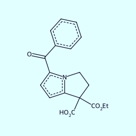 CCOC(=O)C1(C(=O)O)CCn2c(C(=O)c3ccccc3)ccc21